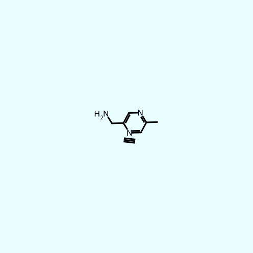 C#C.Cc1cnc(CN)cn1